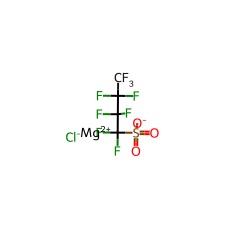 O=S(=O)([O-])C(F)(F)C(F)(F)C(F)(F)C(F)(F)F.[Cl-].[Mg+2]